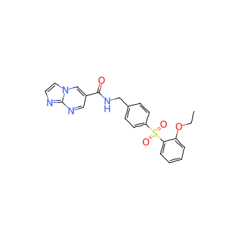 CCOc1ccccc1S(=O)(=O)c1ccc(CNC(=O)c2cnc3nccn3c2)cc1